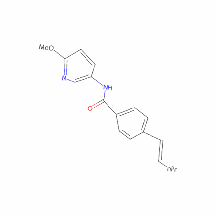 CCC/C=C/c1ccc(C(=O)Nc2ccc(OC)nc2)cc1